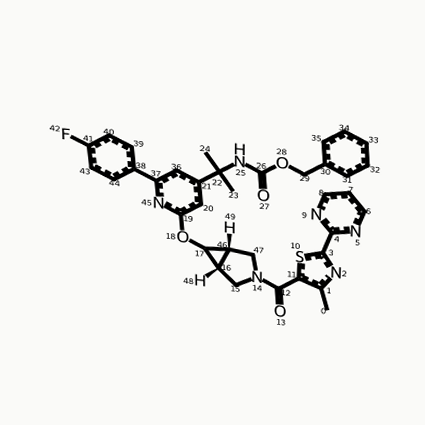 Cc1nc(-c2ncccn2)sc1C(=O)N1C[C@@H]2C(Oc3cc(C(C)(C)NC(=O)OCc4ccccc4)cc(-c4ccc(F)cc4)n3)[C@@H]2C1